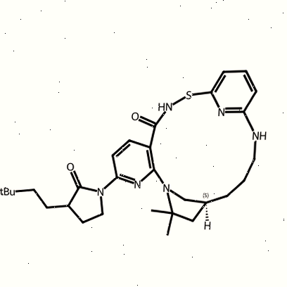 CC(C)(C)CCC1CCN(c2ccc3c(n2)N2C[C@@H](CCCNc4cccc(n4)SNC3=O)CC2(C)C)C1=O